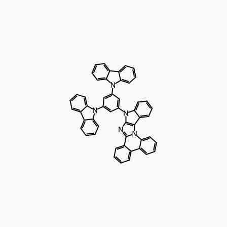 c1ccc2c(c1)c1ccccc1n1c2nc2c1c1ccccc1n2-c1cc(-n2c3ccccc3c3ccccc32)cc(-n2c3ccccc3c3ccccc32)c1